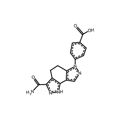 NC(=O)c1n[nH]c2c1CCc1c-2cnn1-c1ccc(C(=O)O)cc1